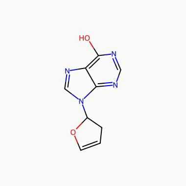 Oc1ncnc2c1ncn2C1CC=CO1